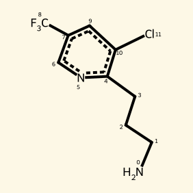 NCCCc1ncc(C(F)(F)F)cc1Cl